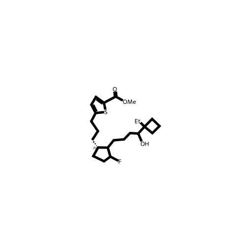 CCC1(C(O)CCCC2C(F)CC[C@@H]2CCCc2ccc(C(=O)OC)s2)CCC1